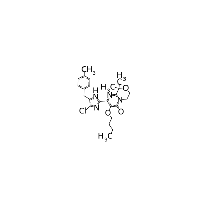 CCCCOc1c(-c2nc(Cl)c(Cc3ccc(C)cc3)[nH]2)nc2n(c1=O)CCOC2(C)C